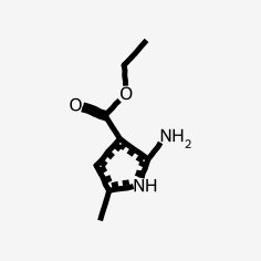 CCOC(=O)c1cc(C)[nH]c1N